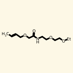 CC=CCOCC(=O)NCCOCCOCC